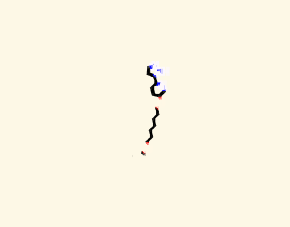 CC(OCCCCCCCOc1ccc(-c2ccn[nH]2)nc1)C(=O)O